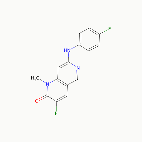 Cn1c(=O)c(F)cc2cnc(Nc3ccc(F)cc3)cc21